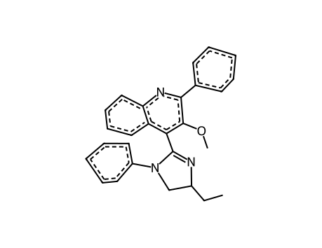 CCC1CN(c2ccccc2)C(c2c(OC)c(-c3ccccc3)nc3ccccc23)=N1